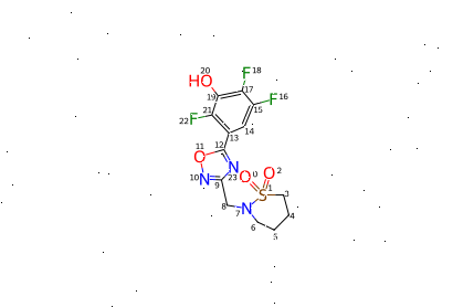 O=S1(=O)CCCCN1Cc1noc(-c2cc(F)c(F)c(O)c2F)n1